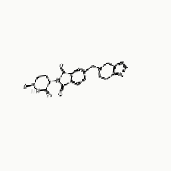 O=C1CCC(N2C(=O)c3ccc(CN4CCc5sccc5C4)cc3C2=O)C(=O)N1